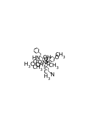 CCC(CC)(CCC#N)CN(C[C@@H](O)[C@H](Cc1ccccc1)NC(=O)OC(C)(C)C)S(=O)(=O)c1ccc(OC)cc1